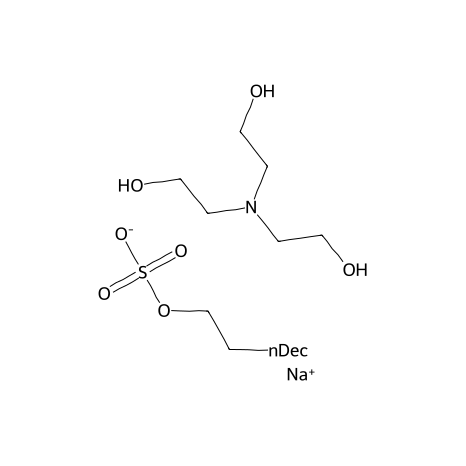 CCCCCCCCCCCCOS(=O)(=O)[O-].OCCN(CCO)CCO.[Na+]